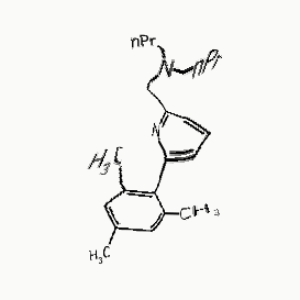 CCCN(CCC)Cc1cccc(-c2c(C)cc(C)cc2C)n1